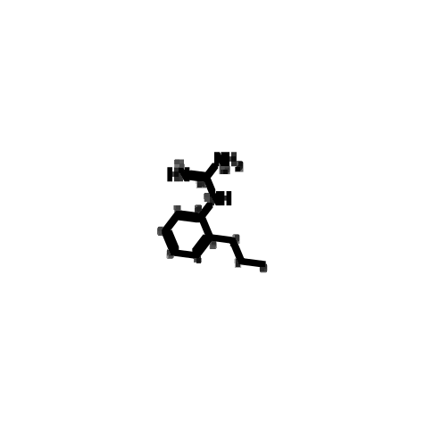 CC[CH]c1ccccc1NC(=N)N